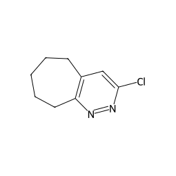 Clc1cc2c(nn1)CCCCC2